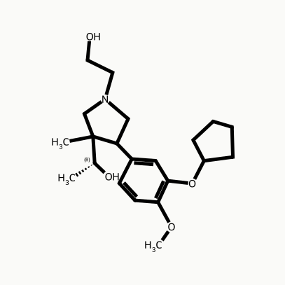 COc1ccc(C2CN(CCO)CC2(C)[C@@H](C)O)cc1OC1CCCC1